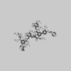 CCN(C(=O)C1CC1)c1cc(N(C)CCN(C)C)cc(C(=O)NCc2c(CC3CC3C(=O)N(CC)c3cc(-c4ccc(OCCN5CCOCC5)c(C)c4)cc(C(=O)NCc4c(C)cc(C)[nH]c4=O)c3C)cc(C)[nH]c2=O)c1C